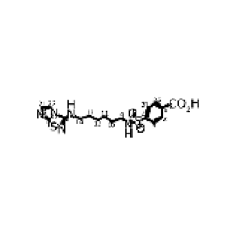 O=C(O)c1ccc(S(=O)(=O)NCCCCCCNc2nsc3nccn23)cc1